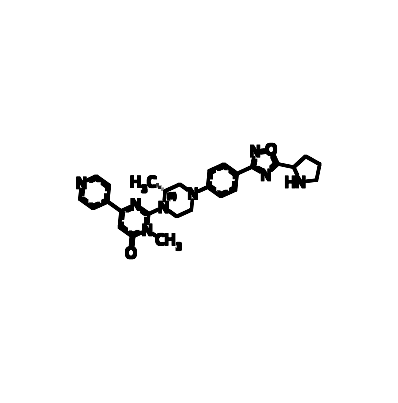 C[C@@H]1CN(c2ccc(-c3noc(C4CCCN4)n3)cc2)CCN1c1nc(-c2ccncc2)cc(=O)n1C